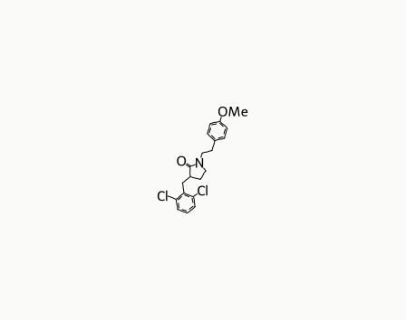 COc1ccc(CCN2CCC(Cc3c(Cl)cccc3Cl)C2=O)cc1